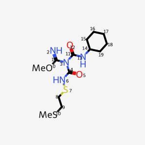 COC(=N)N(C(=O)NSCCSC)C(=O)NC1CCCCC1